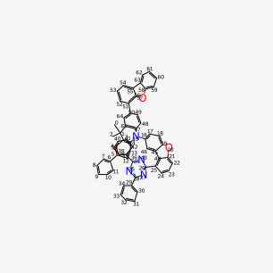 CC1(C)c2cc(-c3ccccc3)ccc2N(c2ccc3oc4cccc(-c5nc(-c6ccccc6)nc(-c6ccccc6)n5)c4c3c2)c2ccc(-c3cccc4c3oc3ccccc34)cc21